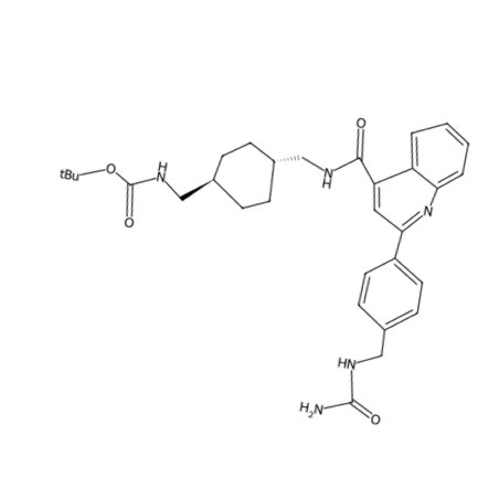 CC(C)(C)OC(=O)NC[C@H]1CC[C@H](CNC(=O)c2cc(-c3ccc(CNC(N)=O)cc3)nc3ccccc23)CC1